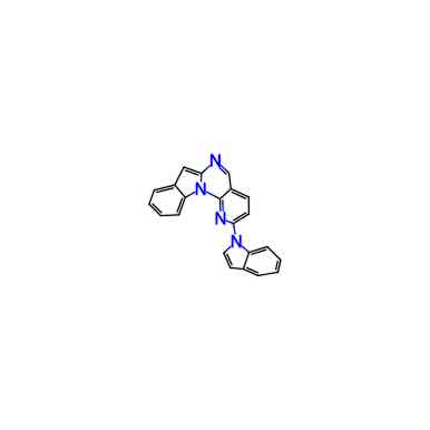 c1ccc2c(c1)ccn2-c1ccc2cnc3cc4ccccc4n3c2n1